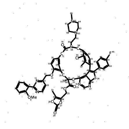 COc1ccccc1-c1nccc(COc2ccc3cc2C[C@@H](C(=O)OCc2oc(=O)oc2C)Oc2ncnc4sc(-c5ccc(F)cc5)c(c24)-c2ccc(c(Cl)c2C)CN(CCN2CCN(C)CC2)C(=O)C3)n1